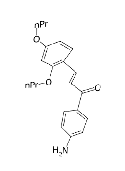 CCCOc1ccc(C=CC(=O)c2ccc(N)cc2)c(OCCC)c1